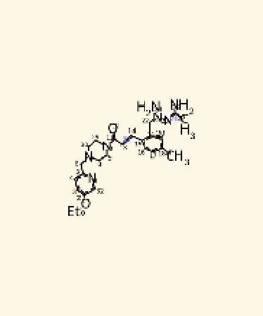 CCOc1ccc(CN2CCN(C(=O)/C=C/c3ccc(C)cc3CN(N)/N=C(/C)N)CC2)nc1